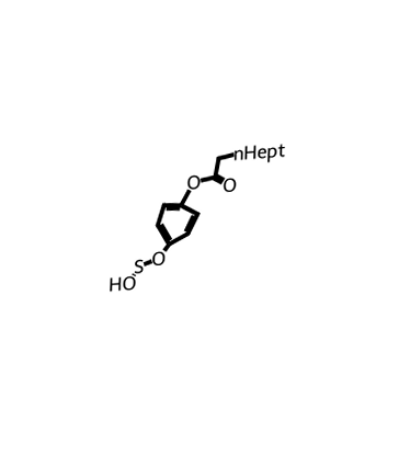 CCCCCCCCC(=O)Oc1ccc(OSO)cc1